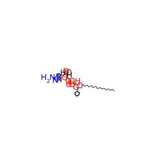 CCCCCCCCCCCCCCCCOC[C@@H](COP(=O)(O)OC[C@H]1O[C@@H](c2ccc3c(N)ncnn23)[C@@H]2OC(C)(C)O[C@@H]21)OCc1ccccc1